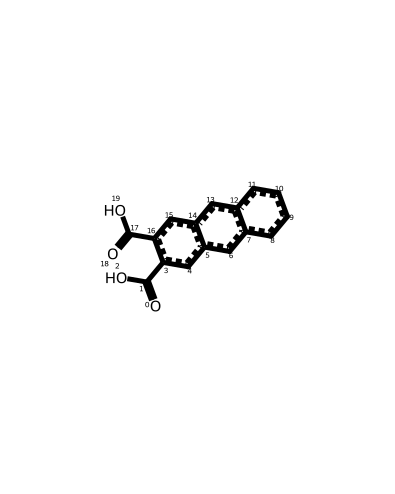 O=C(O)c1cc2cc3ccccc3cc2cc1C(=O)O